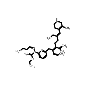 C=C(C)/C(CC/C(=C/C1=C(C)CNCC1)CC)=C(\C=C/C)Cc1cccc(N(/N=C\CCC)C(=C)OCC)n1